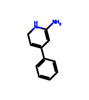 NC1=CC(c2ccccc2)=CCN1